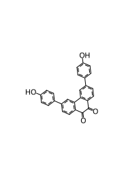 O=C1C(=O)c2ccc(-c3ccc(O)cc3)cc2-c2cc(-c3ccc(O)cc3)ccc21